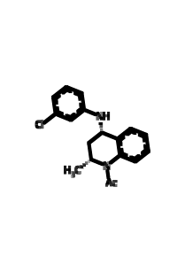 CC(=O)N1c2ccccc2[C@@H](Nc2cccc(Cl)c2)C[C@H]1C